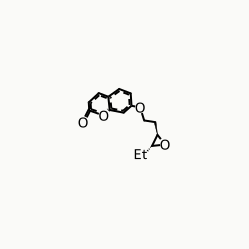 CC[C@H]1O[C@@H]1CCOc1ccc2ccc(=O)oc2c1